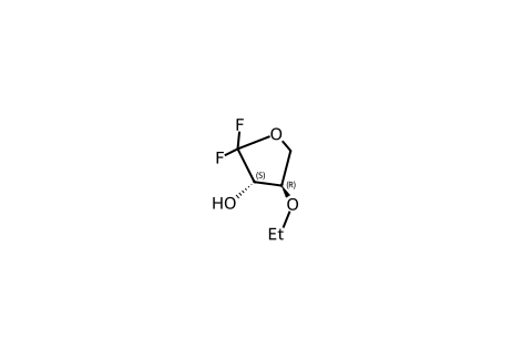 CCO[C@@H]1COC(F)(F)[C@H]1O